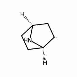 [CH]1C[C@@H]2CC[C@H]1N2